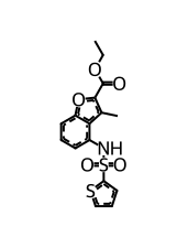 CCOC(=O)c1oc2cccc(NS(=O)(=O)c3cccs3)c2c1C